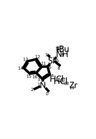 CN(C)C1=CC([Si](C)(C)NC(C)(C)C)c2ccccc21.Cl.Cl.[Zr]